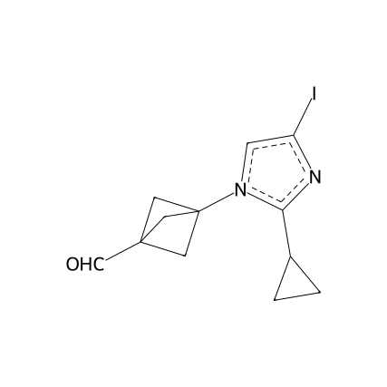 O=CC12CC(n3cc(I)nc3C3CC3)(C1)C2